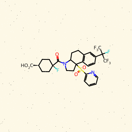 O=C(O)[C@H]1CC[C@](F)(C(=O)N2CCC3(S(=O)(=O)c4ccccn4)c4ccc(C(F)(C(F)(F)F)C(F)(F)F)cc4CCC23)CC1